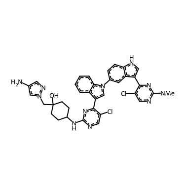 CNc1ncc(Cl)c(-c2c[nH]c3ccc(-n4cc(-c5nc(NC6CCC(O)(Cn7cc(N)cn7)CC6)ncc5Cl)c5ccccc54)cc23)n1